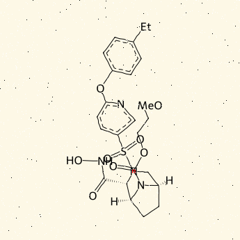 CCc1ccc(Oc2ccc(S(=O)(=O)N3C[C@H]4CC[C@@H]([C@@H]3C(=O)NO)N4C(=O)OCCOC)cn2)cc1